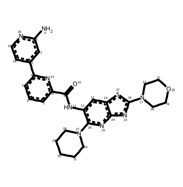 Nc1cc(-c2cccc(C(=O)Nc3cc4sc(N5CCOCC5)nc4nc3N3CCCCC3)n2)ccn1